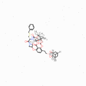 CC(C)(C)OC(=O)N[C@H](CSCc1ccccc1)C(=O)N1CC(Oc2ccc(CCB3O[C@@H]4C[C@@H]5C[C@@H](C5(C)C)[C@]4(C)O3)c(OC(=O)OC(C)(C)C)c2C(=O)OC(C)(C)C)C1